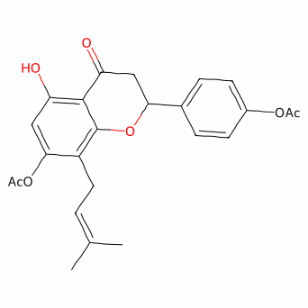 CC(=O)Oc1ccc(C2CC(=O)c3c(O)cc(OC(C)=O)c(CC=C(C)C)c3O2)cc1